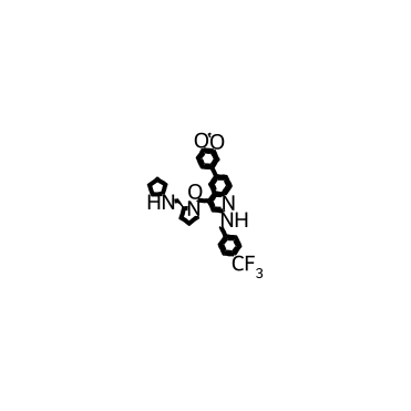 O=C(c1cc(NCc2ccc(C(F)(F)F)cc2)nc2ccc(-c3ccc4c(c3)OCO4)cc12)N1CCC[C@H]1CNC1CCCC1